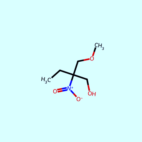 CCC(CO)(COC)[N+](=O)[O-]